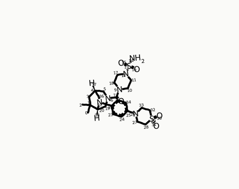 CC1(C)C[C@@H]2CN(C(=O)N3CCN(S(N)(=O)=O)CC3)C[C@H]1N(c1ccc(N3CCS(=O)(=O)CC3)cc1)C2